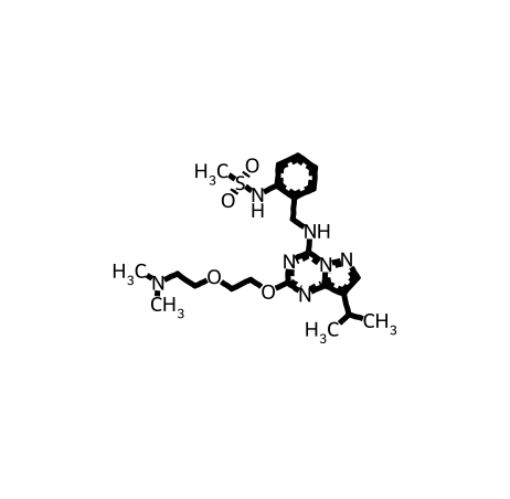 CC(C)c1cnn2c(NCc3ccccc3NS(C)(=O)=O)nc(OCCOCCN(C)C)nc12